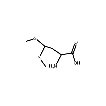 CSC(CC(N)C(=O)O)SC